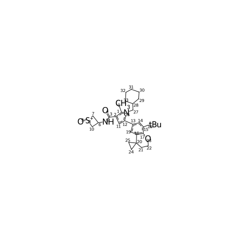 Cc1c(C(=O)NC2C[S+]([O-])C2)cc(-c2cc(C(C)(C)C)c3c(c2)C2(CCO3)CC2)n1CC1CCCCC1